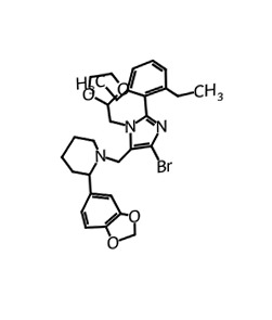 CCc1cccc(CC)c1-c1nc(Br)c(CN2CCCCC2c2ccc3c(c2)OCO3)n1CC1OCCO1